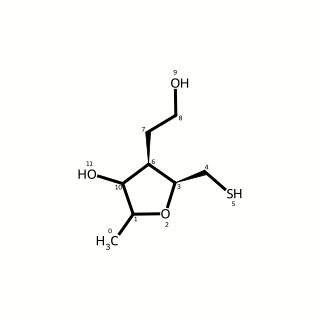 CC1O[C@H](CS)[C@H](CCO)C1O